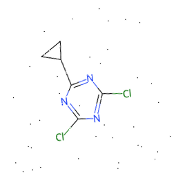 Clc1nc(Cl)nc(C2CC2)n1